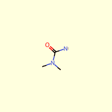 CN(C)C([N])=O